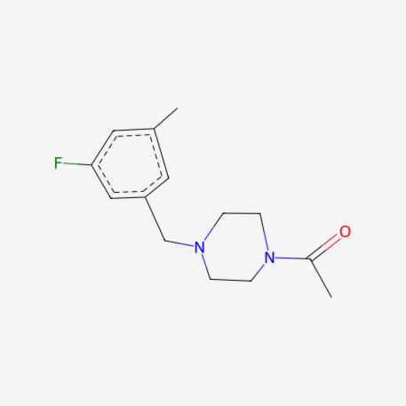 CC(=O)N1CCN(Cc2cc(C)cc(F)c2)CC1